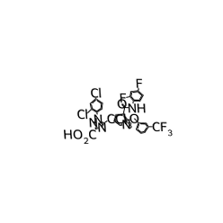 O=C(Nc1ccc(F)cc1F)c1cccnc1Oc1cccc(C(F)(F)F)c1.O=C(O)c1nc(C(Cl)(Cl)Cl)n(-c2ccc(Cl)cc2Cl)n1